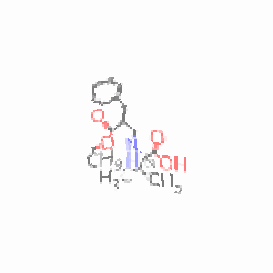 CCOC(=O)C(CN[C@H](C(=O)O)C(C)C)Cc1ccccc1